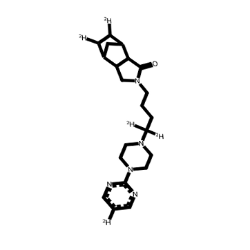 [2H]c1cnc(N2CCN(C([2H])([2H])CCCN3CC4C5CC(C([2H])C5[2H])C4C3=O)CC2)nc1